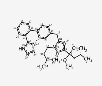 CCCC(OC)(OC)c1nc(Cc2ccc(-c3ccccc3-c3nnn[nH]3)cc2)n(CCC(C)C)n1